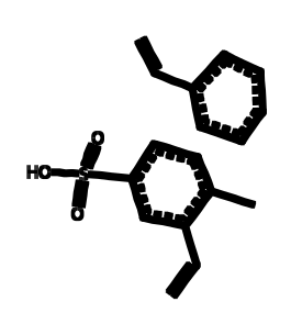 C=Cc1cc(S(=O)(=O)O)ccc1C.C=Cc1ccccc1